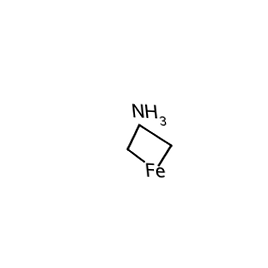 C1[CH2][Fe][CH2]1.N